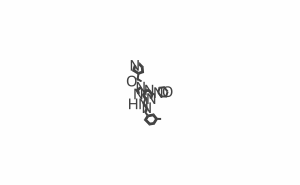 Cc1cccc(C=NNc2nc(N3CCOCC3)nc3c2ncn3CC(=O)c2cccnc2)c1